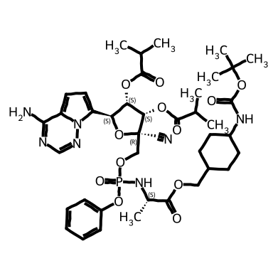 CC(C)C(=O)O[C@H]1[C@H](c2ccc3c(N)ncnn23)O[C@](C#N)(COP(=O)(N[C@@H](C)C(=O)OCC2CCC(NC(=O)OC(C)(C)C)CC2)Oc2ccccc2)[C@H]1OC(=O)C(C)C